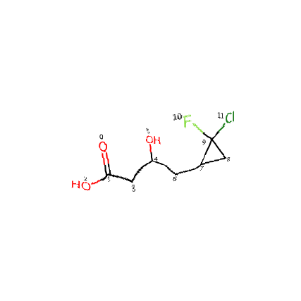 O=C(O)CC(O)CC1CC1(F)Cl